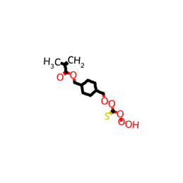 C=C(C)C(=O)OCC1CCC(COOC(=S)OOO)CC1